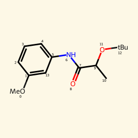 COc1cccc(NC(=O)C(C)OC(C)(C)C)c1